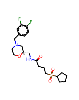 O=C(CCCS(=O)(=O)C1CCCC1)NC[C@H]1CN(Cc2ccc(F)c(F)c2)CCO1